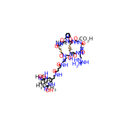 CNC(=O)[C@@H]1CSCC(=O)N[C@@H](CCCCNC(=O)CCCC(=O)NCCC(CCNC(C)(C)/C(C)=N\O)CCNC(C)(C)/C(C)=N\O)C(=O)N[C@H]2CSSC[C@H](NC(=O)[C@H](CC(=O)O)NC(=O)CNC(=O)[C@H](CCCNC(=N)N)NC2=O)C(=O)N[C@@H](Cc2ccccc2)C(=O)N1